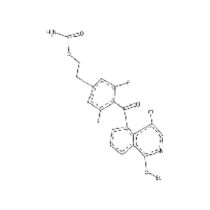 CCOc1ncc(Cl)c2c(C(=O)c3c(F)cc(CCOC(N)=O)cc3F)cccc12